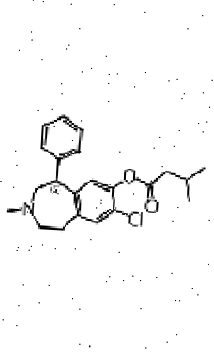 CC(C)CC(=O)Oc1cc2c(cc1Cl)CCN(C)C[C@H]2c1ccccc1